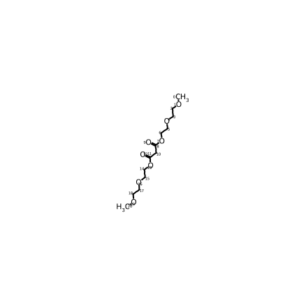 COCCOCCOC(=O)CC(=O)OCCOCCOC